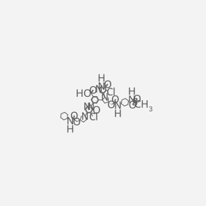 CS(=O)(=O)NC1CCC(NC(=O)O[C@@H]2CC(c3cc(C(=O)O)cc(-n4ncc(N5CC[C@@H](OC(=O)NC6CCCCC6)C5)c(Cl)c4=O)c3)N(c3cn[nH]c(=O)c3Cl)C2)CC1